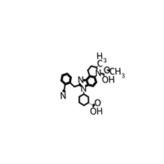 COC(O)N1c2ccc3c(nc(Cc4ccccc4C#N)n3[C@@H]3CCC[C@@H](C(=O)O)C3)c2CC[C@@H]1C